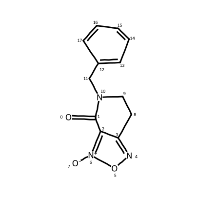 O=C1c2c(no[n+]2[O-])CCN1Cc1ccccc1